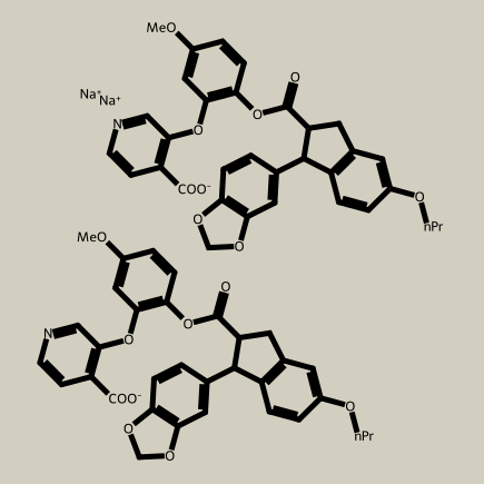 CCCOc1ccc2c(c1)CC(C(=O)Oc1ccc(OC)cc1Oc1cnccc1C(=O)[O-])C2c1ccc2c(c1)OCO2.CCCOc1ccc2c(c1)CC(C(=O)Oc1ccc(OC)cc1Oc1cnccc1C(=O)[O-])C2c1ccc2c(c1)OCO2.[Na+].[Na+]